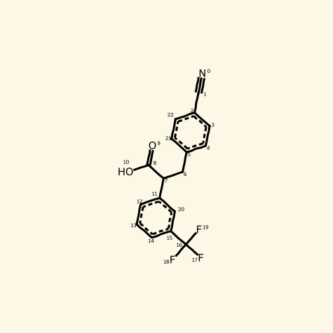 N#Cc1ccc(CC(C(=O)O)c2cccc(C(F)(F)F)c2)cc1